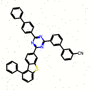 N#Cc1cccc(-c2cccc(-c3nc(-c4ccc(-c5ccccc5)cc4)nc(-c4ccc5c(c4)sc4cccc(-c6ccccc6)c45)n3)c2)c1